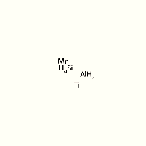 [AlH3].[Mn].[SiH4].[Ti]